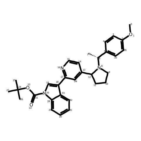 COc1ccc([C@@H](C)N2CCCC2c2ccnc(-c3cn(C(=O)OC(C)(C)C)c4ccccc34)c2)cc1